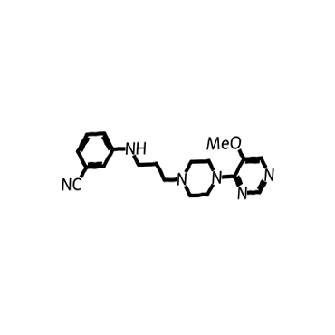 COc1cncnc1N1CCN(CCCNc2cccc(C#N)c2)CC1